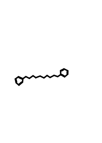 [CH](CCCCCCc1ccccc1)CCCc1ccccc1